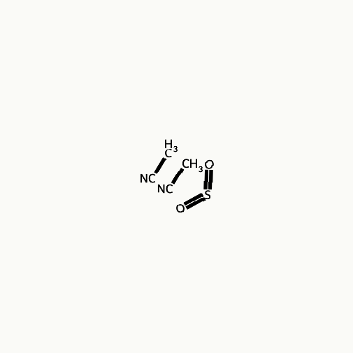 CC#N.CC#N.O=S=O